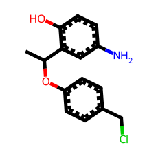 CC(Oc1ccc(CCl)cc1)c1cc(N)ccc1O